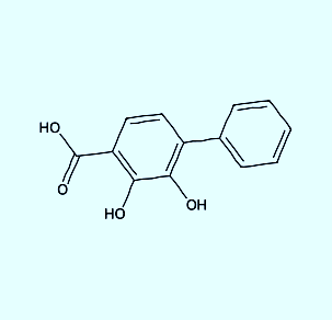 O=C(O)c1ccc(-c2ccccc2)c(O)c1O